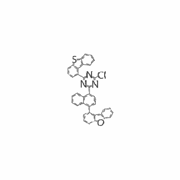 Clc1nc(-c2ccc(-c3cccc4oc5ccccc5c34)c3ccccc23)nc(-c2cccc3sc4ccccc4c23)n1